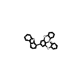 O=P12c3ccccc3Oc3cc(-c4cccc5c4sc4ccccc45)cc(c31)Oc1ccccc12